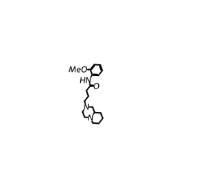 COc1ccccc1NC(=O)CCCN1CCN2CCCCC2C1